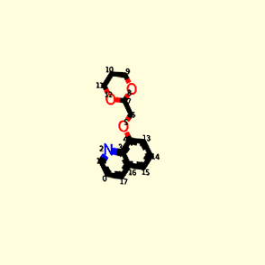 c1cnc2c(OCC3OCCCO3)cccc2c1